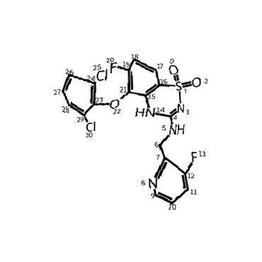 O=S1(=O)N=C(NCc2ncccc2F)Nc2c1ccc(F)c2Oc1c(Cl)cccc1Cl